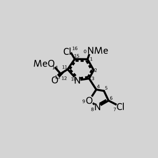 CNc1cc(C2CC(Cl)=NO2)nc(C(=O)OC)c1Cl